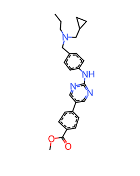 CCCN(Cc1ccc(Nc2ncc(-c3ccc(C(=O)OC)cc3)cn2)cc1)CC1CC1